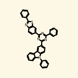 c1ccc(-c2nc(-c3ccc4nc(-c5ccccc5)sc4c3)nc(-c3ccc4c(c3)c3ccccc3n4-c3ccccc3)n2)cc1